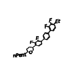 CCCCCC1CCC(c2ccc(-c3ccc(-c4ccc(CC)c(F)c4F)cc3)c(F)c2F)CO1